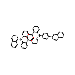 C1=c2ccccc2=C(N(c2ccccc2)c2ccccc2-c2ccc(-c3ccccc3N(c3ccccc3)c3ccc(-c4ccc5ccccc5c4)cc3)cc2)CC1